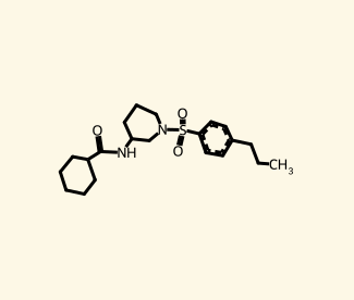 CCCc1ccc(S(=O)(=O)N2CCCC(NC(=O)C3CCCCC3)C2)cc1